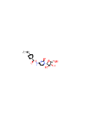 CC(=O)Nc1ccc(C(=O)ONc2ccn([C@@H]3O[C@H](CO)[C@@H](O)[C@H]3O)c(=O)n2)cc1